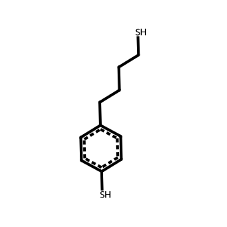 SCCCCc1ccc(S)cc1